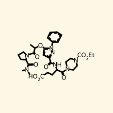 CCOC(=O)N1CCN(C(=O)C(CCC(=O)O)NC(=O)c2cc(OC(C)C(=O)N3CCCC3C(=O)N(C)C)n(-c3ccccc3)n2)CC1